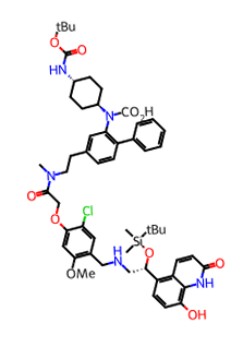 COc1cc(OCC(=O)N(C)CCc2ccc(-c3ccccc3)c(N(C(=O)O)[C@H]3CC[C@H](NC(=O)OC(C)(C)C)CC3)c2)c(Cl)cc1CNC[C@H](O[Si](C)(C)C(C)(C)C)c1ccc(O)c2[nH]c(=O)ccc12